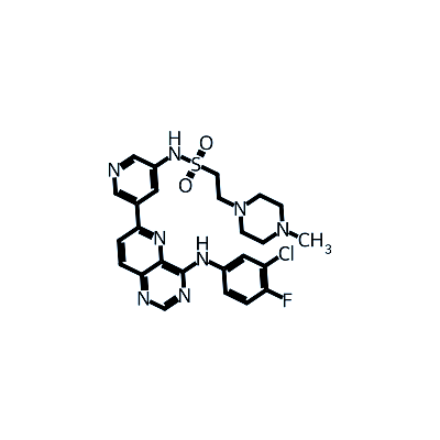 CN1CCN(CCS(=O)(=O)Nc2cncc(-c3ccc4ncnc(Nc5ccc(F)c(Cl)c5)c4n3)c2)CC1